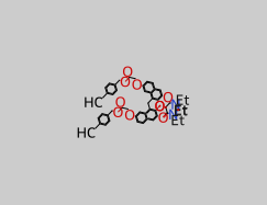 C#Cc1ccc(COC(=O)COc2ccc3ccc(OCC(=O)N(CC)CC)c(Cc4c(OCC(=O)N(CC)CC)ccc5ccc(OCC(=O)OCc6ccc(C#C)cc6)cc45)c3c2)cc1